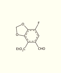 CCOC(=O)c1c(C=O)cc(F)c2c1OCO2